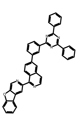 c1ccc(-c2nc(-c3ccccc3)nc(-c3cccc(-c4ccc5c(-c6cc7c(cn6)oc6ccccc67)nccc5c4)c3)n2)cc1